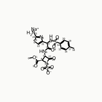 COC(=O)[C@H]1[C@@H](NC(=O)C(NS(=O)(=O)c2ccc(C)cc2)c2csc(N)n2)C(=O)N1S(=O)(=O)[O-].[Na+]